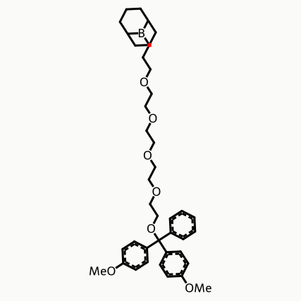 COc1ccc(C(OCCOCCOCCOCCOCCCB2C3CCCC2CCC3)(c2ccccc2)c2ccc(OC)cc2)cc1